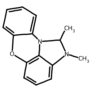 CC1N(C)c2cccc3c2N1c1ccccc1O3